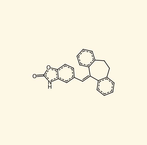 O=c1[nH]c2cc(C=C3c4ccccc4CCc4ccccc43)ccc2o1